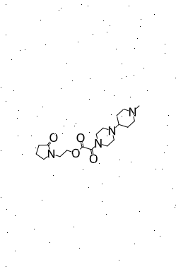 CN1CCC(N2CCN(C(=O)C(=O)OCCN3CCCC3=O)CC2)CC1